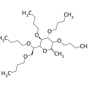 C=C1OC([C@@H](COCCCC)OCCCC)[C@@H](OCCCC)[C@H](OCCCC)C1OCCCC